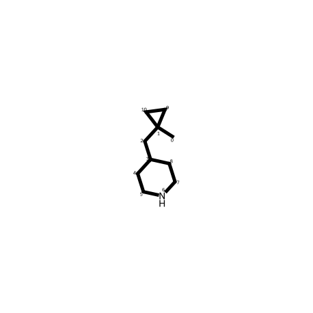 CC1(C[C]2CCNCC2)CC1